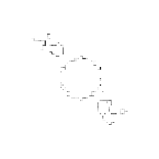 O=S(=O)(O)c1cccc(CN2CCOCCOCCN(Cc3ccc4cccc(O)c4n3)CCOCCOCC2)n1